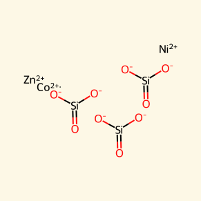 O=[Si]([O-])[O-].O=[Si]([O-])[O-].O=[Si]([O-])[O-].[Co+2].[Ni+2].[Zn+2]